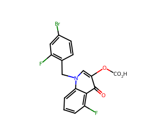 O=C(O)Oc1cn(Cc2ccc(Br)cc2F)c2cccc(F)c2c1=O